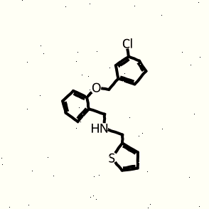 Clc1cccc(COc2ccccc2CNCc2cccs2)c1